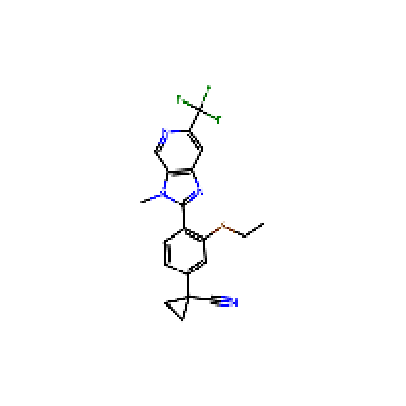 CCSc1cc(C2(C#N)CC2)ccc1-c1nc2cc(C(F)(F)F)ncc2n1C